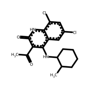 CC(=O)c1c(NC2CCCCC2C)c2cc(Cl)cc(Cl)c2[nH]c1=O